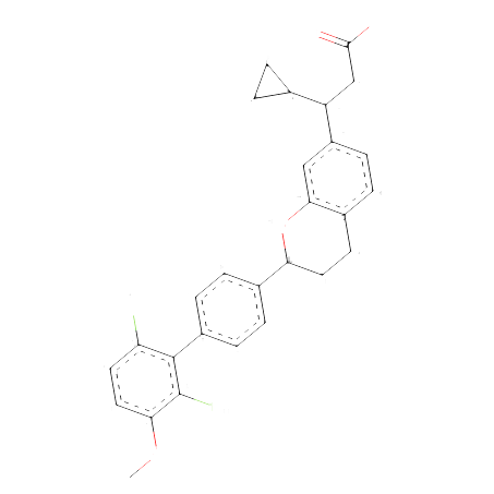 COc1ccc(F)c(-c2ccc(C3CCc4ccc(C(CC(=O)O)C5CC5)cc4O3)cc2)c1F